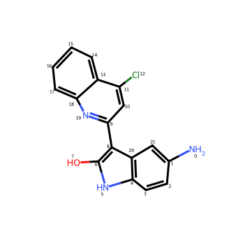 Nc1ccc2[nH]c(O)c(-c3cc(Cl)c4ccccc4n3)c2c1